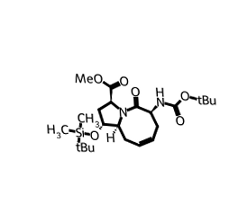 COC(=O)[C@@H]1C[C@@H](O[Si](C)(C)C(C)(C)C)[C@@H]2C/C=C\C[C@H](NC(=O)OC(C)(C)C)C(=O)N12